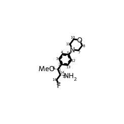 CO[C@H](c1ccc(N2CCOCC2)cc1)[C@H](N)CF